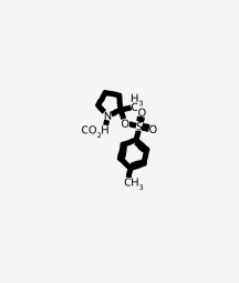 Cc1ccc(S(=O)(=O)OC2(C)CCCN2C(=O)O)cc1